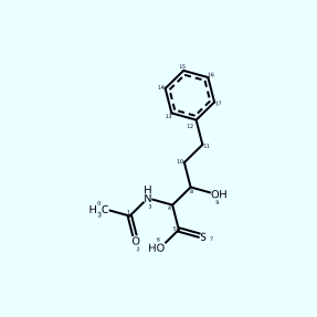 CC(=O)NC(C(O)=S)C(O)CCc1ccccc1